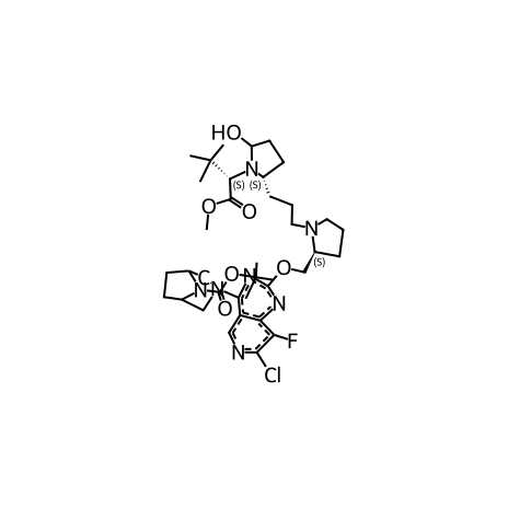 COC(=O)[C@@H](N1C(O)CC[C@@H]1CCCN1CCC[C@H]1COc1nc(N2CC3CCC(C2)N3C(=O)OC(C)(C)C)c2cnc(Cl)c(F)c2n1)C(C)(C)C